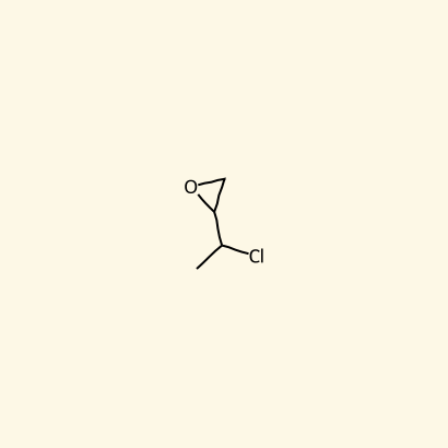 CC(Cl)C1CO1